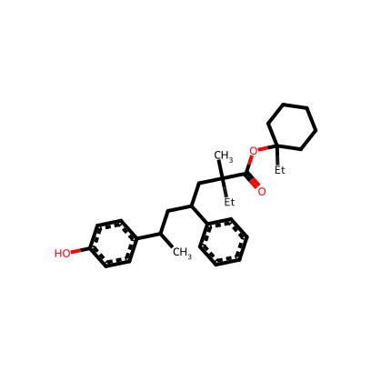 CCC1(OC(=O)C(C)(CC)CC(CC(C)c2ccc(O)cc2)c2ccccc2)CCCCC1